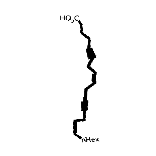 CCCCCC/C=C\CC#CC/C=C\CC#CCCCC(=O)O